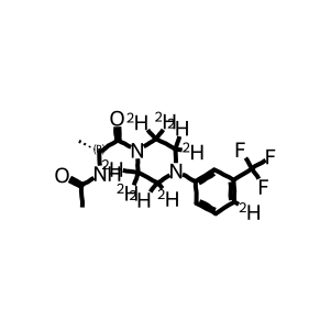 [2H]c1ccc(N2C([2H])([2H])C([2H])([2H])N(C(=O)[C@@H](C)NC(C)=O)C([2H])([2H])C2([2H])[2H])cc1C(F)(F)F